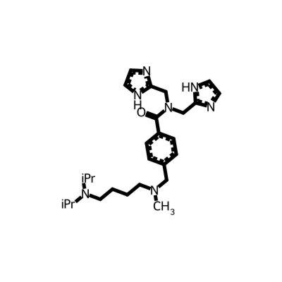 CC(C)N(CCCCN(C)Cc1ccc(C(=O)N(Cc2ncc[nH]2)Cc2ncc[nH]2)cc1)C(C)C